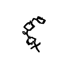 CC(C)(C)N1CCN(C(=O)C2CCN(Cc3ccccc3)CC2)CC1